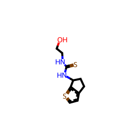 OCCNC(=S)NC1CCc2ccsc21